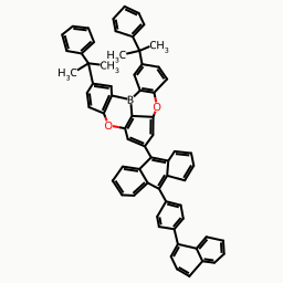 CC(C)(c1ccccc1)c1ccc2c(c1)B1c3cc(C(C)(C)c4ccccc4)ccc3Oc3cc(-c4c5ccccc5c(-c5ccc(-c6cccc7ccccc67)cc5)c5ccccc45)cc(c31)O2